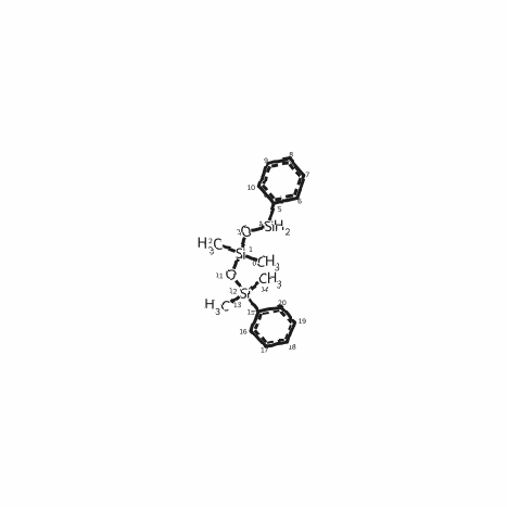 C[Si](C)(O[SiH2]c1ccccc1)O[Si](C)(C)c1ccccc1